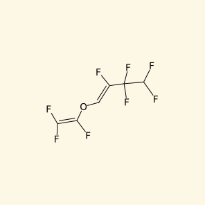 FC(=COC(F)=C(F)F)C(F)(F)C(F)F